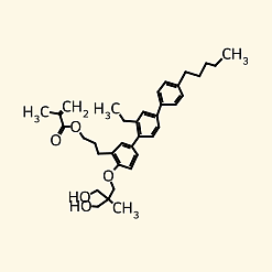 C=C(C)C(=O)OCCCc1cc(-c2ccc(-c3ccc(CCCCC)cc3)cc2CC)ccc1OCC(C)(CO)CO